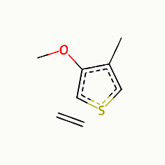 C=C.COc1cscc1C